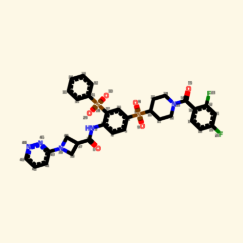 O=C(Nc1ccc(S(=O)(=O)C2CCN(C(=O)c3ccc(F)cc3F)CC2)cc1S(=O)(=O)c1ccccc1)C1CN(c2cccnn2)C1